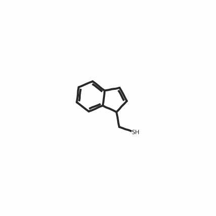 SCC1C=Cc2ccccc21